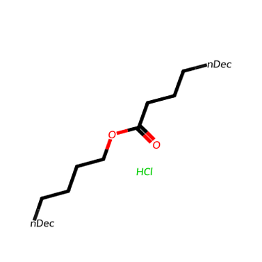 CCCCCCCCCCCCCCOC(=O)CCCCCCCCCCCCC.Cl